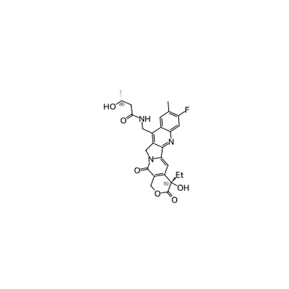 CC[C@@]1(O)C(=O)OCc2c1cc1n(c2=O)Cc2c-1nc1cc(F)c(C)cc1c2CNC(=O)C[C@@H](C)O